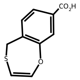 O=C(O)c1ccc2c(c1)OC=CSC2